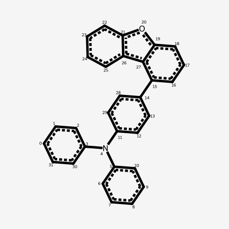 c1ccc(N(c2ccccc2)c2ccc(-c3cccc4oc5ccccc5c34)cc2)cc1